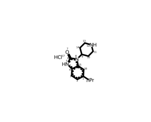 CC(C)c1ccc2[nH]c(=O)n(C3CCNCC3)c2c1.Cl